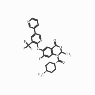 CC1OC(=O)c2cc(Oc3ncc(-c4cccnc4)cc3C(F)(F)F)c(F)cc2N1C(=O)[C@H]1CC[C@H](C)CC1